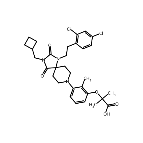 Cc1c(OC(C)(C)C(=O)O)cccc1N1CCC2(CC1)C(=O)N(CC1CCC1)C(=O)N2CCc1ccc(Cl)cc1Cl